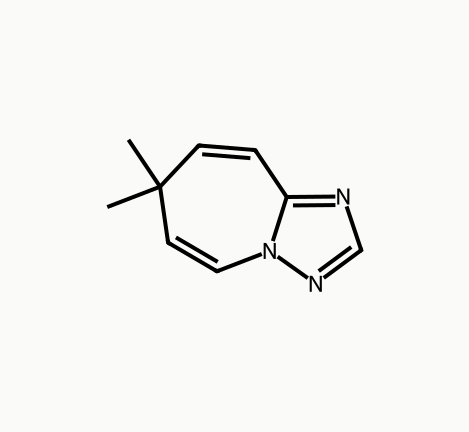 CC1(C)C=Cc2ncnn2C=C1